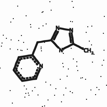 CC1=NN=C(Cc2ccccn2)[N]1